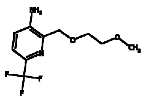 COCCOCc1nc(C(F)(F)F)ccc1N